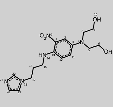 O=[N+]([O-])c1cc(N(CCO)CCO)ccc1NCCCn1ccnc1